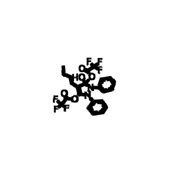 CCCCC1=C(OC(=O)C(F)(F)F)N(c2ccccc2)N(c2ccccc2)C1(O)OC(=O)C(F)(F)F